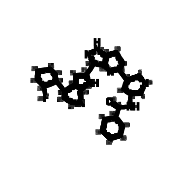 O=C(Nc1cncc(-c2ccc3[nH]nc(-c4cc5c(-c6ccccc6F)ccnc5[nH]4)c3n2)c1)c1ccccc1